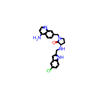 Nc1ccnc2cc(CN3CC[C@@H](NCc4cc5cc(Cl)ccc5[nH]4)C3=O)ccc12